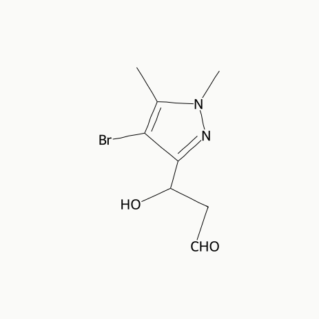 Cc1c(Br)c(C(O)CC=O)nn1C